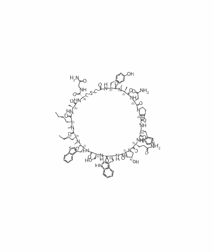 CCCC[C@H]1C(=O)N(C)[C@@H](CCCC)C(=O)N[C@@H](C)C(=O)N[C@H](C(=O)NCC(N)=O)CSCC(=O)N[C@@H](Cc2ccc(O)cc2)C(=O)N(C)[C@@H](C)C(=O)N[C@@H](CC(N)=O)C(=O)N2CCC[C@H]2C(=O)N[C@@H](Cc2cnc[nH]2)C(=O)N[C@@H](CCC(N)=O)C(=O)N2C[C@H](O)C[C@H]2C(=O)N[C@@H](Cc2c[nH]c3ccccc23)C(=O)N[C@@H](CO)C(=O)N[C@@H](Cc2csc3ccccc23)C(=O)N1C